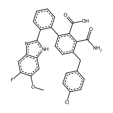 COc1cc2[nH]c(-c3ccccc3-c3ccc(Cc4ccc(Cl)cc4)c(C(N)=O)c3C(=O)O)nc2cc1F